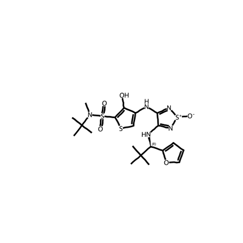 CN(C(C)(C)C)S(=O)(=O)c1scc(Nc2n[s+]([O-])nc2N[C@@H](c2ccco2)C(C)(C)C)c1O